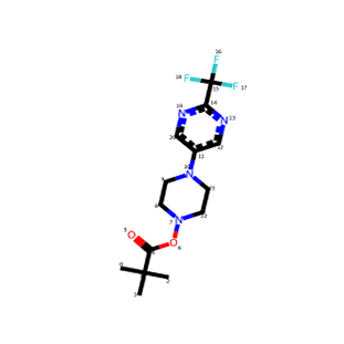 CC(C)(C)C(=O)ON1CCN(c2cnc(C(F)(F)F)nc2)CC1